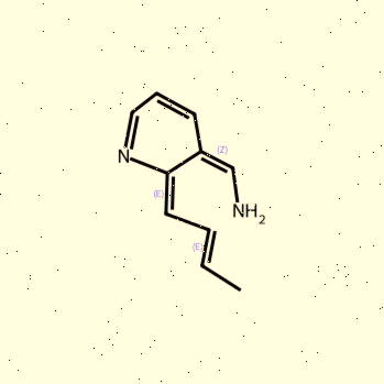 C/C=C/C=c1/nccc/c1=C/N